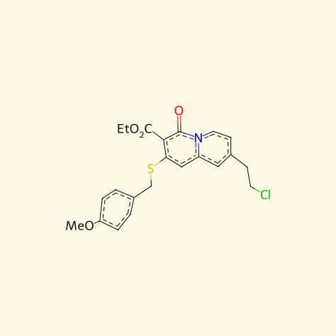 CCOC(=O)c1c(SCc2ccc(OC)cc2)cc2cc(CCCl)ccn2c1=O